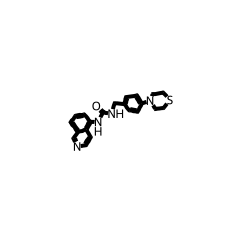 O=C(NCc1ccc(N2CCSCC2)cc1)Nc1cccc2cnccc12